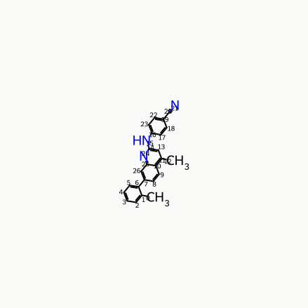 Cc1ccccc1-c1ccc2c(C)cc(Nc3ccc(C#N)cc3)nc2c1